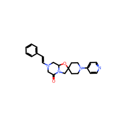 O=C1CN(C=Cc2ccccc2)CC2OC3(CCN(c4ccncc4)CC3)CN12